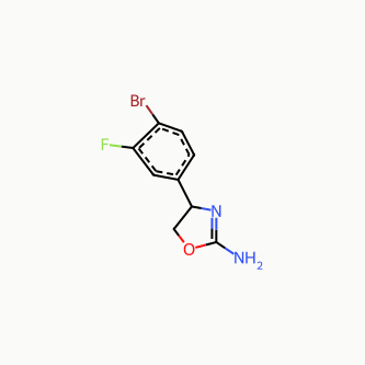 NC1=NC(c2ccc(Br)c(F)c2)CO1